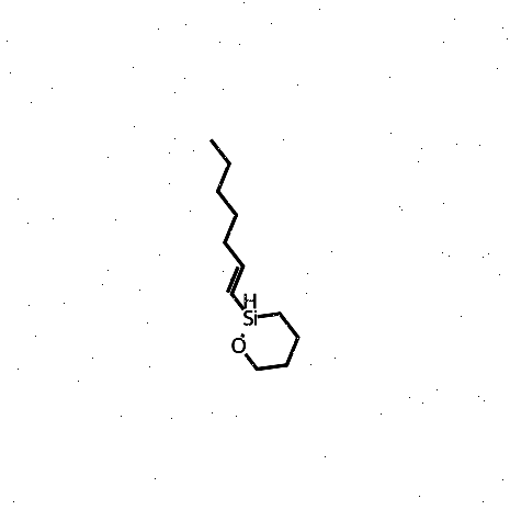 CCCCCC=C[SiH]1CCCCO1